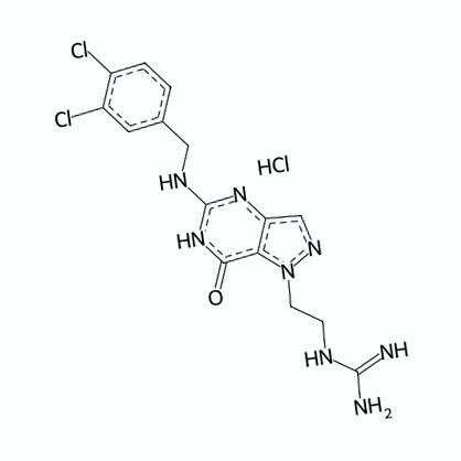 Cl.N=C(N)NCCn1ncc2nc(NCc3ccc(Cl)c(Cl)c3)[nH]c(=O)c21